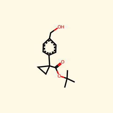 CC(C)(C)OC(=O)C1(c2ccc(CO)cc2)CC1